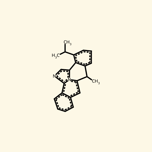 CC(C)c1cccc2c1-c1cnc3c4ccccc4cc(n13)C2C